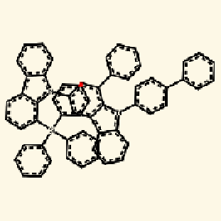 c1ccc(-c2ccc(-n3c4ccccc4c4cc(-n5c6ccccc6c6cccc([Si](c7ccccc7)(c7ccccc7)c7ccccc7)c65)cc(-c5ccccc5)c43)cc2)cc1